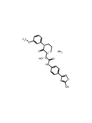 N.O=C(Nc1ccc(-c2noc(O)n2)cc1)[C@H](O)[C@H]1OCCN(c2cccc(OC(F)(F)F)c2)C1=O